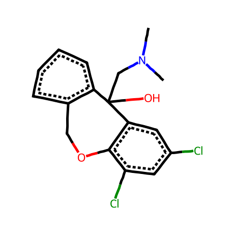 CN(C)CC1(O)c2ccccc2COc2c(Cl)cc(Cl)cc21